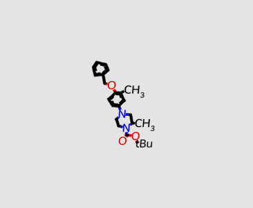 Cc1cc(N2CCN(C(=O)OC(C)(C)C)C(C)C2)ccc1OCc1ccccc1